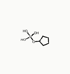 O[Si](O)(O)OC1CCCC1